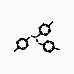 Cc1ccc(OP(Oc2ccc(C)cc2)c2ccc(C)cc2)cc1